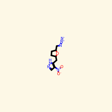 [N-]=[N+]=NCC1CCC(Cc2[nH]ncc2[N+](=O)[O-])O1